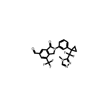 Cn1cnnc1C(F)(F)C1(c2cccc(N3Cc4c(cc(C=O)cc4C(F)(F)F)C3=O)c2)CC1